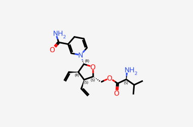 C=C[C@@H]1[C@H](C=C)[C@@H](COC(=O)[C@@H](N)C(C)C)O[C@H]1N1C=CCC(C(N)=O)=C1